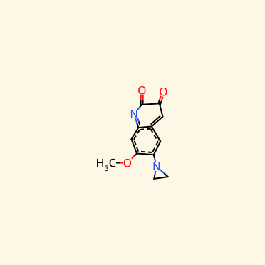 COc1cc2c(cc1N1CC1)=CC(=O)C(=O)N=2